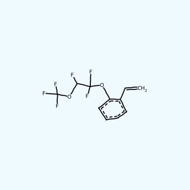 C=Cc1ccccc1OC(F)(F)C(F)OC(F)(F)F